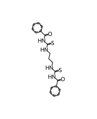 O=C(NC(=S)NCCCNC(=S)NC(=O)c1ccccc1)c1ccccc1